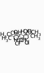 Cc1c(Cl)cc(C(C)(C)C)c(O)c1Cc1c(C)c(Cl)cc(C(C)(C)C)c1O